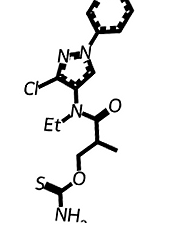 CCN(C(=O)C(C)COC(N)=S)c1cn(-c2cccnc2)nc1Cl